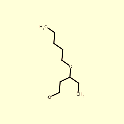 CCCCCOC(CC)CC[O]